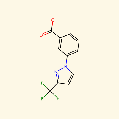 O=C(O)c1cccc(-n2ccc(C(F)(F)F)n2)c1